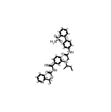 CCC(C)N(CC(=O)Nc1ccc(-c2ccccc2S(N)(=O)=O)cc1)c1cccc(C(=N)NC(=O)OC(C)c2ccccn2)c1